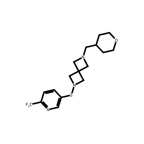 FC(F)(F)c1ccc(SN2CC3(CN(CC4CCOCC4)C3)C2)cn1